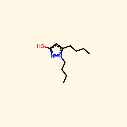 CCCCc1cc(O)nn1CCCC